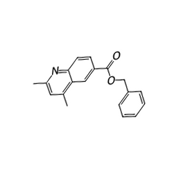 Cc1cc(C)c2cc(C(=O)OCc3ccccc3)ccc2n1